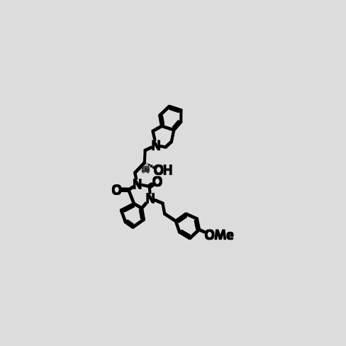 COc1ccc(CCn2c(=O)n(C[C@@H](O)CN3CCc4ccccc4C3)c(=O)c3ccccc32)cc1